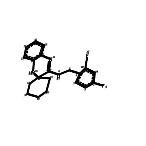 Fc1ccc(CNC2=Nc3ccccc3NC23CCCCC3)c(F)c1